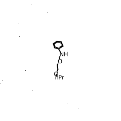 CCCOCCOCNc1ccccc1